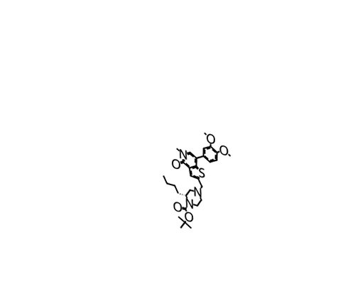 CCCC[C@@H]1CN(Cc2cc3c(=O)n(C)cc(-c4ccc(OC)c(OC)c4)c3s2)CCN1C(=O)OC(C)(C)C